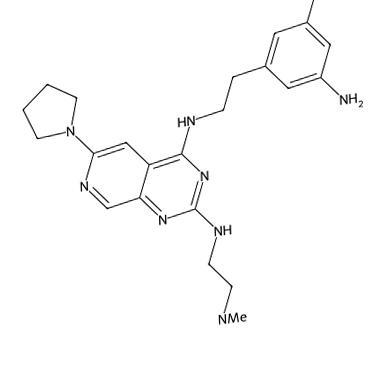 CNCCNc1nc(NCCc2cc(N)cc(C(F)(F)F)c2)c2cc(N3CCCC3)ncc2n1